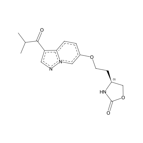 CC(C)C(=O)c1cnn2cc(OCC[C@H]3COC(=O)N3)ccc12